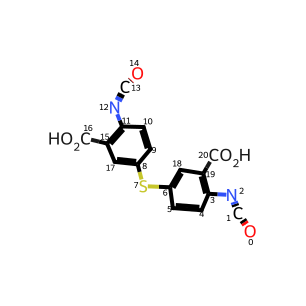 O=C=Nc1ccc(Sc2ccc(N=C=O)c(C(=O)O)c2)cc1C(=O)O